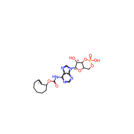 O=C(Nc1ncnc2c1ncn2[C@@H]1OC2COP(=O)(O)OC2[C@@H]1O)OC1/C=C/CCCCC1